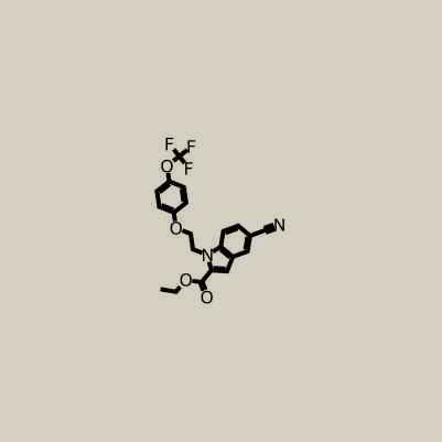 CCOC(=O)c1cc2cc(C#N)ccc2n1CCOc1ccc(OC(F)(F)F)cc1